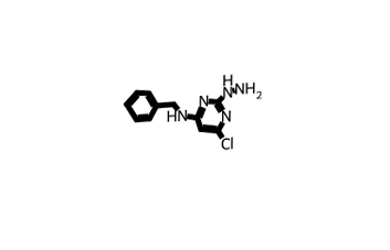 NNc1nc(Cl)cc(NCc2ccccc2)n1